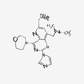 COCc1cc(CN(C)C)c2nc(-n3ccnc3)nc(N3CCOCC3)c2n1